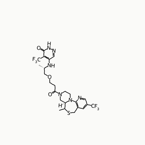 CC1SCc2cc(C(F)(F)F)cnc2N2CCN(C(=O)CCOC[C@H](C)Nc3cn[nH]c(=O)c3C(F)(F)F)C[C@H]12